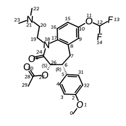 COc1ccc([C@H]2Cc3cc(OC(F)F)ccc3N(CCN(C)C)C(=O)[C@H]2OC(C)=O)cc1